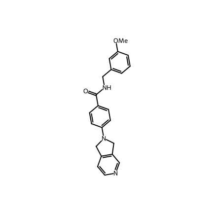 COc1cccc(CNC(=O)c2ccc(N3Cc4ccncc4C3)cc2)c1